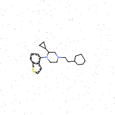 c1cc(N2CCN(CCC3CCCCC3)CC2C2CC2)c2ccsc2c1